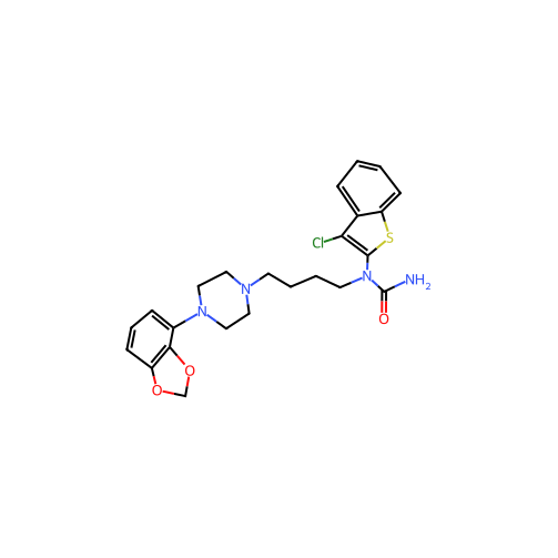 NC(=O)N(CCCCN1CCN(c2cccc3c2OCO3)CC1)c1sc2ccccc2c1Cl